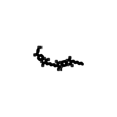 C/C=C/C=C/C=C1C(=O)OC2(CCC3(CC2)OC(=O)C(/C=C/C=C/C=C2C(=O)OC4(CCC(C(=O)C#CO)CC4)OC2=O)=C(O)O3)OC1=O